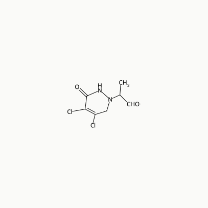 CC([C]=O)N1CC(Cl)=C(Cl)C(=O)N1